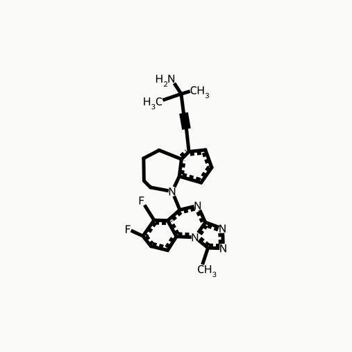 Cc1nnc2nc(N3CCCCc4c(C#CC(C)(C)N)cccc43)c3c(F)c(F)ccc3n12